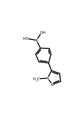 Cn1nccc1-c1ccc(B(O)O)cc1